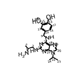 CC(N)CNc1nc(NCc2ccc(O)c(O)c2)c2ncn(C(C)C)c2n1